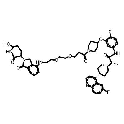 C[C@@H](C(=O)Nc1ccc(Cl)c(OC2CCN(C(=O)CCOCCOCCNc3cccc4c3CN(C3CCC(O)NC3=O)C4=O)CC2)c1)[C@H]1CC[C@@H](c2ccnc3ccc(F)cc32)CC1